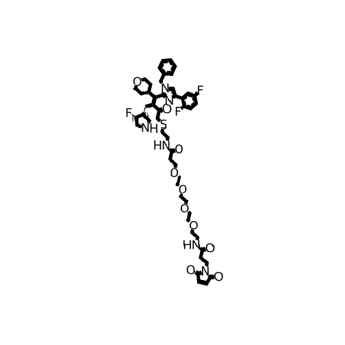 O=C(CCOCCOCCOCCOCCNC(=O)CCN1C(=O)C=CC1=O)NCCSCC(=O)C(C[C@@H]1CNC[C@@H]1F)C(c1nc(-c2cc(F)ccc2F)cn1Cc1ccccc1)C1CCOCC1